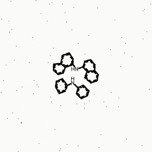 c1ccc(Nc2ccccc2)cc1.c1ccc2c(Nc3cccc4ccccc34)cccc2c1